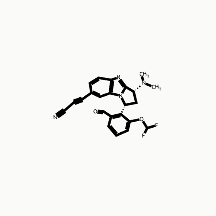 CN(C)[C@@H]1C[C@H](c2c(C=O)cccc2OC(F)F)n2c1nc1ccc(C#CC#N)cc12